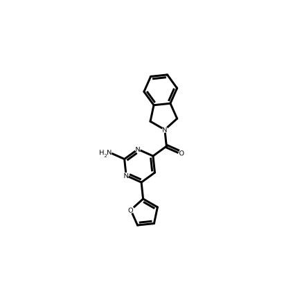 Nc1nc(C(=O)N2Cc3ccccc3C2)cc(-c2ccco2)n1